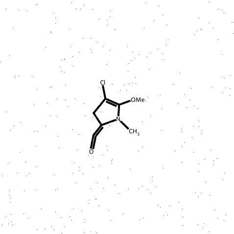 COC1=C(Cl)CC(=C=O)N1C